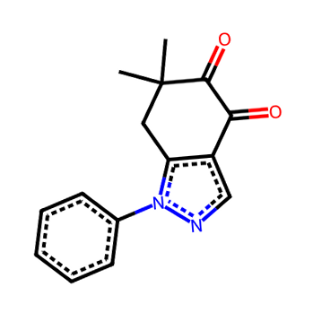 CC1(C)Cc2c(cnn2-c2ccccc2)C(=O)C1=O